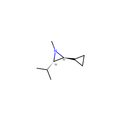 CC(C)[C@H]1[C@H](C2CC2)N1C